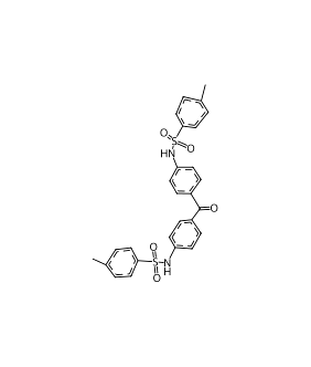 Cc1ccc(S(=O)(=O)Nc2ccc(C(=O)c3ccc(NS(=O)(=O)c4ccc(C)cc4)cc3)cc2)cc1